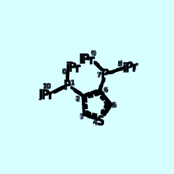 CC(C)P(c1cscc1P(C(C)C)C(C)C)C(C)C